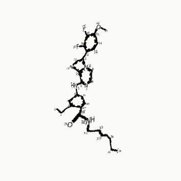 CCc1cc(Nc2nccn3c(-c4ccc(OC)c(F)c4F)cnc23)ccc1C(=O)NCCCCCI